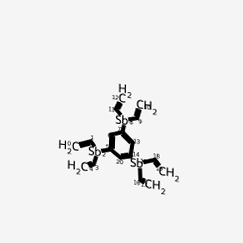 C=[CH][Sb]([CH]=C)[c]1c[c]([Sb]([CH]=C)[CH]=C)c[c]([Sb]([CH]=C)[CH]=C)c1